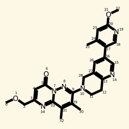 COCc1cc(=O)n2nc(N3CCc4ncc(-c5cnc(OC)cc5C)cc4C3)c(C)c(C)c2n1